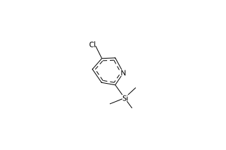 C[Si](C)(C)c1ccc(Cl)cn1